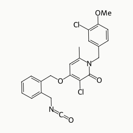 COc1ccc(Cn2c(C)cc(OCc3ccccc3CN=C=O)c(Cl)c2=O)cc1Cl